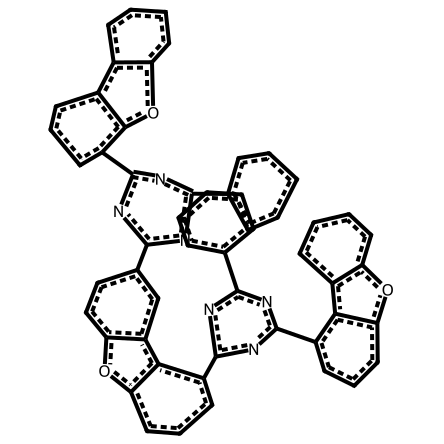 c1ccc(-c2nc(-c3ccc4oc5cccc(-c6nc(-c7ccccc7)nc(-c7cccc8oc9ccccc9c78)n6)c5c4c3)nc(-c3cccc4c3oc3ccccc34)n2)cc1